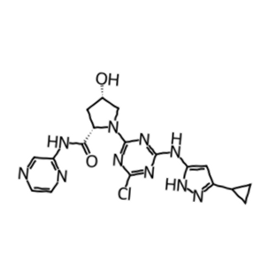 O=C(Nc1cnccn1)[C@@H]1C[C@H](O)CN1c1nc(Cl)nc(Nc2cc(C3CC3)n[nH]2)n1